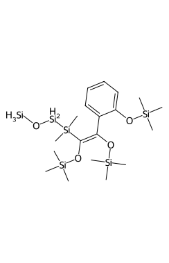 C[Si](C)(C)OC(=C(O[Si](C)(C)C)[Si](C)(C)[SiH2]O[SiH3])c1ccccc1O[Si](C)(C)C